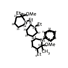 CCC1CCCN(c2ccccc2)C1(C)OC.CCN1CCCCC1.CCN1CCCCC1(CC)OC